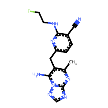 Cc1nc2ncnn2c(N)c1Cc1ccc(C#N)c(NCCF)n1